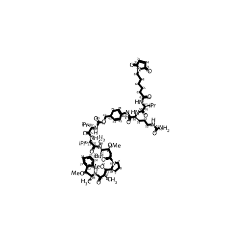 CC[C@H](C)C([C@@H](CC(=O)N1CCC[C@H]1[C@H](OC)[C@@H](C)C(=O)N[C@H](C)[C@@H](OC)c1ccccc1)OC)N(C)C(=O)[C@@H](NC(=O)[C@@H](NC(=O)OCC1C=CC(NC(=O)[C@H](CCCNC(N)=O)NC(=O)[C@@H](NC(=O)CCCCCN2C(=O)C=CC2=O)C(C)C)=CC1)C(C)C)C(C)C